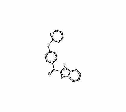 O=C(c1ccc(Oc2ccccn2)cc1)c1nc2ccccc2[nH]1